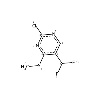 CSc1nc(Cl)ncc1C(F)F